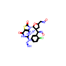 N=NNC1NC(=O)c2sc(=O)n([C@@H]3OC(CN=O)C[C@@]3(N)C(N=O)c3ccccc3Cl)c2N1